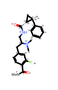 CNC(=O)c1ccc(CC(CNC(=O)[C@@H]2C[C@@]2(C)c2ccccc2)N(C)C)cc1F